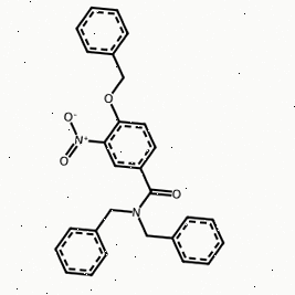 O=C(c1ccc(OCc2ccccc2)c([N+](=O)[O-])c1)N(Cc1ccccc1)Cc1ccccc1